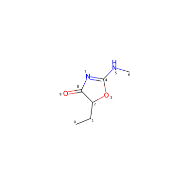 CCC1OC(NC)=NC1=O